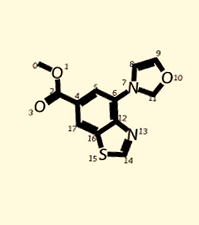 COC(=O)c1cc(N2C=COC2)c2ncsc2c1